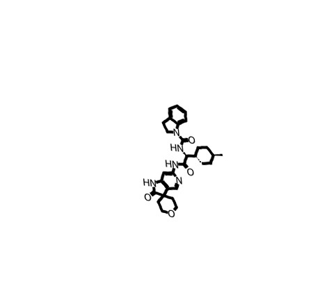 C[C@H]1CC[C@H]([C@H](NC(=O)N2CCc3ccccc32)C(=O)Nc2cc3c(cn2)C2(CCOCC2)C(=O)N3)CC1